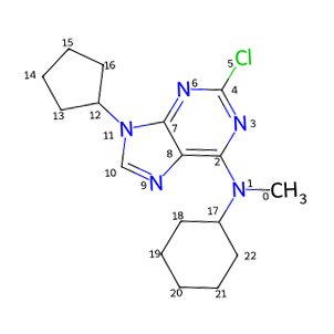 CN(c1nc(Cl)nc2c1ncn2C1CCCC1)C1CCCCC1